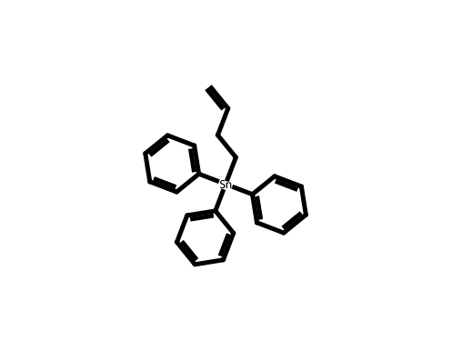 C=CC[CH2][Sn]([c]1ccccc1)([c]1ccccc1)[c]1ccccc1